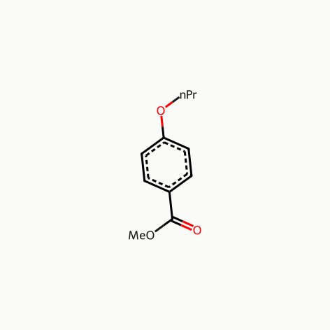 [CH2]CCOc1ccc(C(=O)OC)cc1